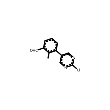 O=Cc1cccc(-c2cnc(Cl)nc2)c1F